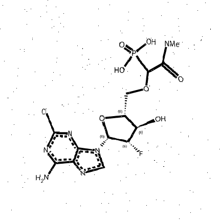 CNC(=O)C(OC[C@H]1O[C@@H](n2cnc3c(N)nc(Cl)nc32)[C@@H](F)[C@@H]1O)P(=O)(O)O